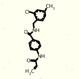 C=CC(=O)Nc1ccc(C(=O)NCc2ccc(C)cc2Cl)cc1